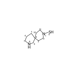 SN1CCC2(CCCNC2)CC1